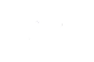 Cc1cccc2c(Br)cncc12